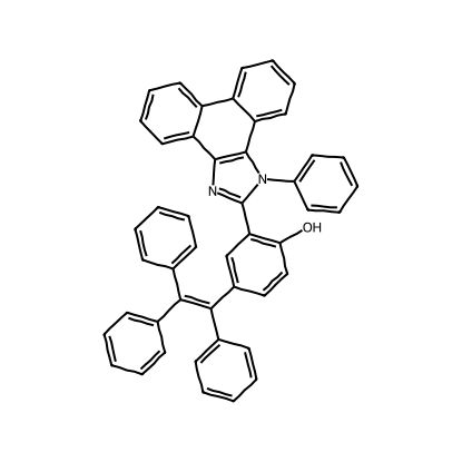 Oc1ccc(C(=C(c2ccccc2)c2ccccc2)c2ccccc2)cc1-c1nc2c3ccccc3c3ccccc3c2n1-c1ccccc1